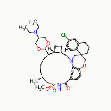 CCN(CC)[C@H]1CO[C@@H]([C@@H]2CCC[C@H](C)[C@@H](C)S(=O)(=O)NC(=O)c3ccc4c(c3)N(C[C@@H]3CC[C@H]32)C[C@@]2(CCCc3cc(Cl)ccc32)CO4)OC1